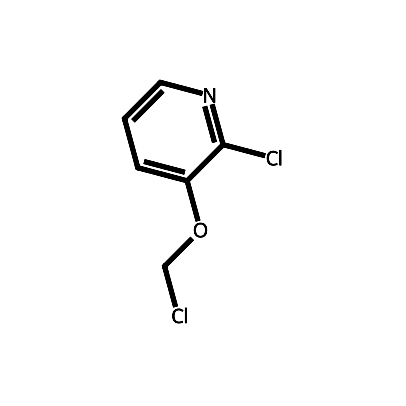 ClCOc1cccnc1Cl